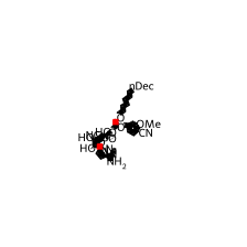 CCCCCCCCCCCCCCCCCCOC[C@H](COP(=O)(O)OC[C@@]1(C#N)O[C@@H](c2ccc3c(N)ncnn23)[C@H](O)[C@@H]1O)OCc1ccc(C#N)c(OC)c1